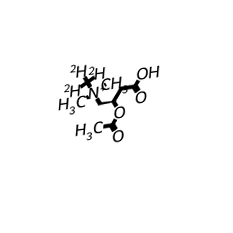 [2H]C([2H])([2H])[N+](C)(C)C[C@@H](CC(=O)O)OC(C)=O